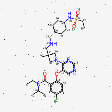 CCN(C(=O)c1cc(F)ccc1Oc1cncnc1N1CC(C)(CNC[C@H]2CC[C@H](NS(=O)(=O)CC)CC2)C1)C(C)C